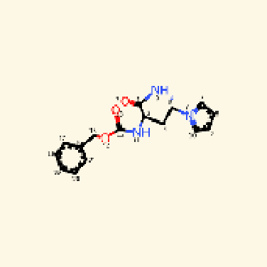 NC(=O)C(CCn1cccc1)NC(=O)OCc1ccccc1